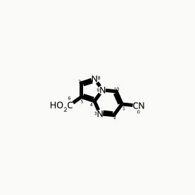 N#Cc1cnc2c(C(=O)O)cnn2c1